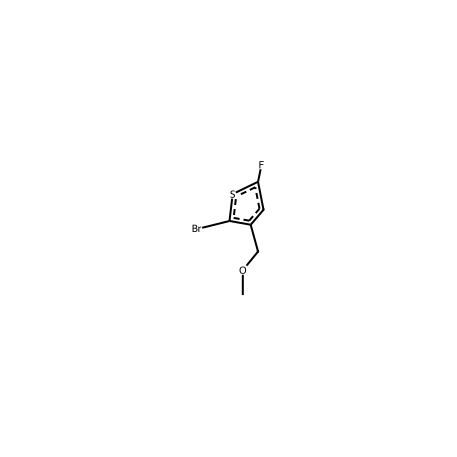 COCc1cc(F)sc1Br